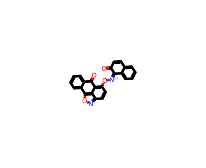 O=C1C=Cc2ccccc2/C1=N/Oc1ccc2noc3c2c1C(=O)c1ccccc1-3